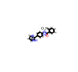 O=C(Nc1ccc(C2CNC3CCN2CC3)cc1)c1ccccc1[N+](=O)[O-]